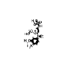 CCN(NCCNS(C)(=O)=O)c1ccc(N)c(C)c1.O=S(=O)(O)O